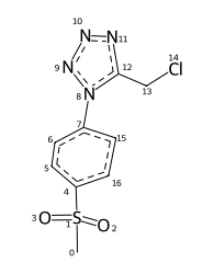 CS(=O)(=O)c1ccc(-n2nnnc2CCl)cc1